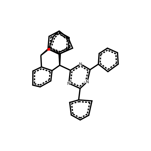 c1ccc(-c2nc(-c3ccccc3)nc(C34c5ccccc5C(c5ccccc53)c3ccccc34)n2)cc1